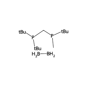 BB.CP(CP(C(C)(C)C)C(C)(C)C)C(C)(C)C